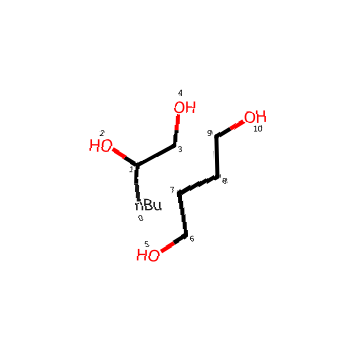 CCCCC(O)CO.OCCCCO